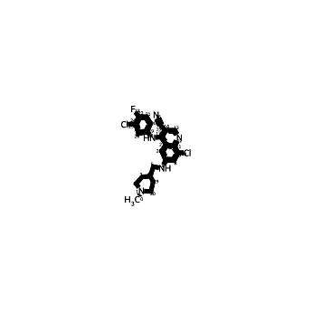 CN1CCC(CNc2cc(Cl)c3ncc(C#N)c(Nc4ccc(F)c(Cl)c4)c3c2)CC1